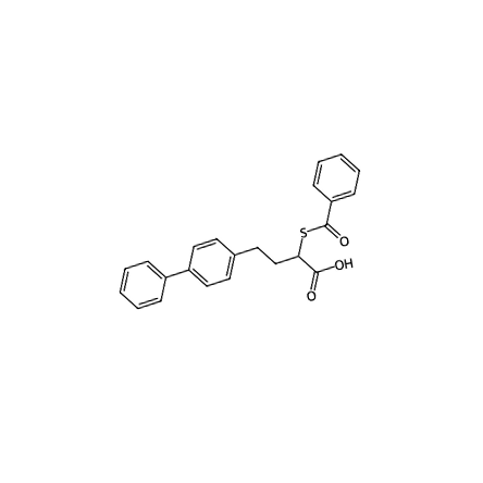 O=C(SC(CCc1ccc(-c2ccccc2)cc1)C(=O)O)c1ccccc1